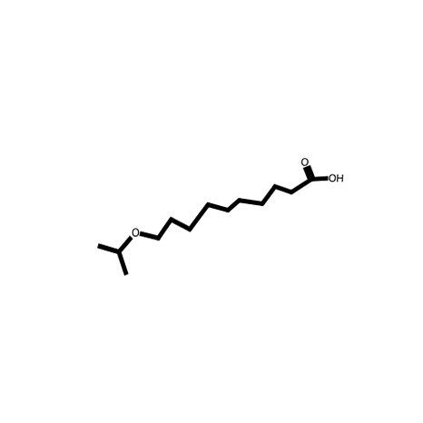 CC(C)OCCCCCCCCCC(=O)O